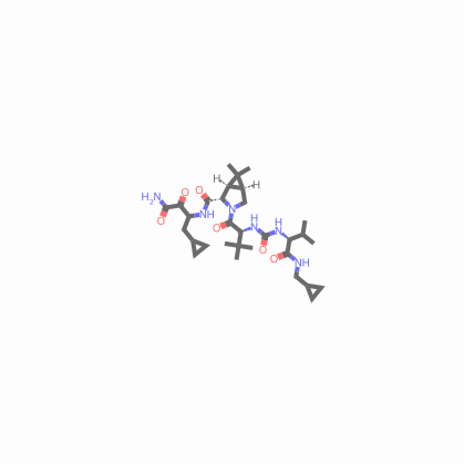 CC(C)[C@H](NC(=O)N[C@H](C(=O)N1C[C@H]2[C@@H]([C@H]1C(=O)NC(CC1CC1)C(=O)C(N)=O)C2(C)C)C(C)(C)C)C(=O)NCC1CC1